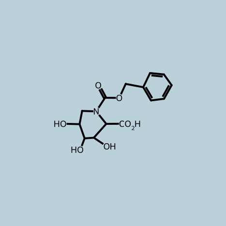 O=C(O)C1C(O)C(O)C(O)CN1C(=O)OCc1ccccc1